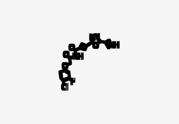 O=C(COc1ccc(Cl)c(F)c1)NC(=O)C12CC(c3nnc(C4CNC4)o3)(C1)C2